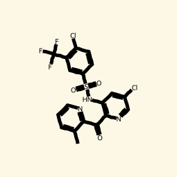 Cc1cccnc1C(=O)c1ncc(Cl)cc1NS(=O)(=O)c1ccc(Cl)c(C(F)(F)F)c1